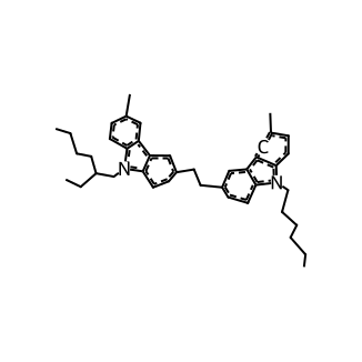 CCCCCCn1c2ccc(C)cc2c2cc(CCc3ccc4c(c3)c3cc(C)ccc3n4CC(CC)CCCC)ccc21